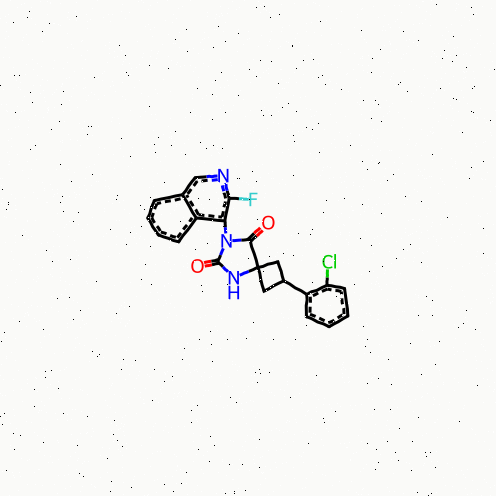 O=C1NC2(CC(c3ccccc3Cl)C2)C(=O)N1c1c(F)ncc2ccccc12